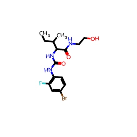 CCC(C)C(NC(=O)Nc1ccc(Br)cc1F)C(=O)NCCO